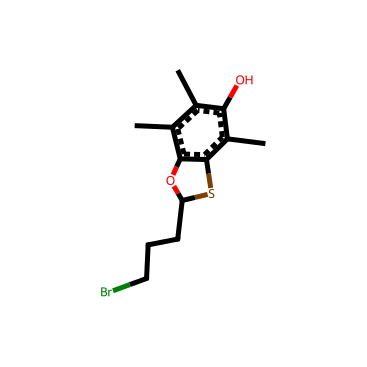 Cc1c(C)c2c(c(C)c1O)SC(CCCBr)O2